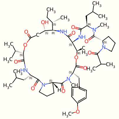 CC[C@H](C)[C@H]1NC(=O)[C@@H](NC(=O)[C@@H](CC(C)C)N(C)C(=O)[C@@H]2CCCN2C(=O)C(C)C)[C@@H](C)OC(=O)[C@H](Cc2ccc(OC)cc2)N(C)C(=O)[C@@H]2CCCN2C(=O)[C@H](CC(C)C)NC(=O)[C@H](C(C)C)OC(=O)C[C@@H]1O